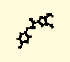 Cc1sc(C(=O)NCc2ccc(F)cc2)cc1Cl